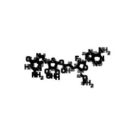 Nc1nc2c(ncn2[C@@H]2SC(OC(O)CC[C@H]3[C@H](F)[C@H](n4cnc5c(N)ncnc54)O[C@@H]3COP)[C@@H](O)[C@H]2OO)c(=O)[nH]1